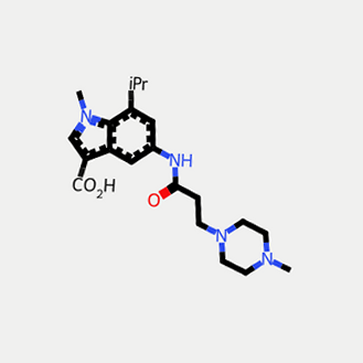 CC(C)c1cc(NC(=O)CCN2CCN(C)CC2)cc2c(C(=O)O)cn(C)c12